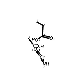 CC(=O)O.CCC(=O)O.N=C=O